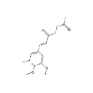 CC/C=C(/C=C/C(=O)CCC(C)=O)\C=C(\OC)C(C)OC